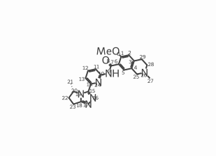 COc1cc2c(cc1C(=O)Nc1cccc(-c3nnc4n3[C@@H](C)CC4)n1)CN(C)CC2